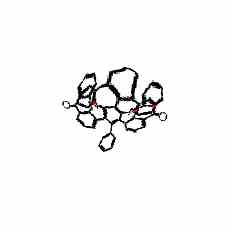 O=c1c2ccccc2n2c3c(-c4c(-c5ccccc5)cccc4-c4ccccc4)c4c(c(-c5ccccc5)c3c3cccc1c32)c1cccc2c(=O)c3ccccc3n4c21